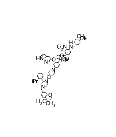 CC(C)c1ccccc1[C@@H]1CN(Cc2ccc3c(c2)OCCC3(C)C)CCN1C1CC2(CCN(c3ccc(C(=O)NS(=O)(=O)c4ccc(NC[C@H]5CC[C@](C)(O)CC5)c([N+](=O)[O-])c4)c(Oc4cnc5[nH]ccc5c4)c3)CC2)C1